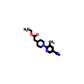 CCOC(=O)CC1CCN(c2ncc(C#N)cc2C)CC1